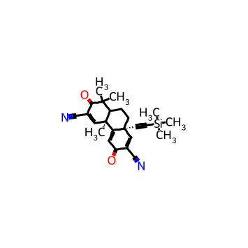 CC1(C)C(=O)C(C#N)=C[C@]2(C)C3=CC(=O)C(C#N)=C[C@]3(C#C[Si](C)(C)C)CCC12